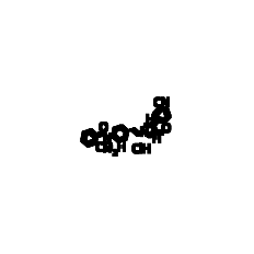 Cl.N#Cc1ccc2c(c1)[C@@H]1CN(CC[C@H]3CC[C@H](NC(=O)c4ccccc4C(=O)O)CC3)C[C@H]1CO2